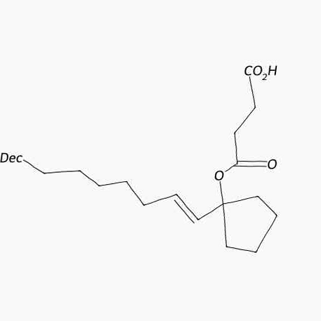 CCCCCCCCCCCCCCCC=CC1(OC(=O)CCC(=O)O)CCCC1